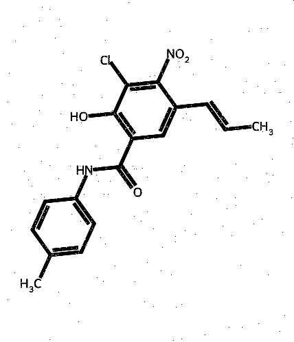 CC=Cc1cc(C(=O)Nc2ccc(C)cc2)c(O)c(Cl)c1[N+](=O)[O-]